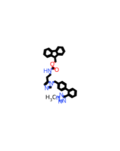 Cn1nnc(-c2ccccc2-c2ccc(Cn3cncc3CCNC(=O)OCC3c4ccccc4-c4ccccc43)cc2)n1